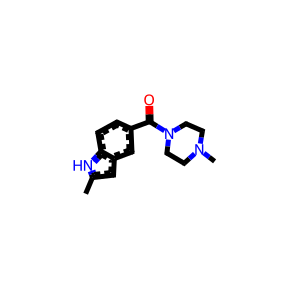 Cc1cc2cc(C(=O)N3CCN(C)CC3)ccc2[nH]1